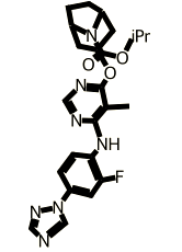 Cc1c(Nc2ccc(-n3cncn3)cc2F)ncnc1OC1CC2CCC(C1)N2C(=O)OC(C)C